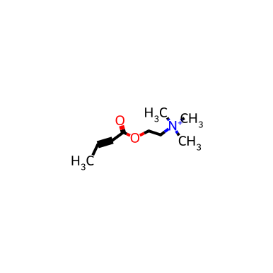 CC#CC(=O)OCC[N+](C)(C)C